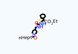 CCCCCCCC(=O)N1CCC(CNC(=O)Nc2sc3c(c2C(=O)OCC)CCCC3)CC1